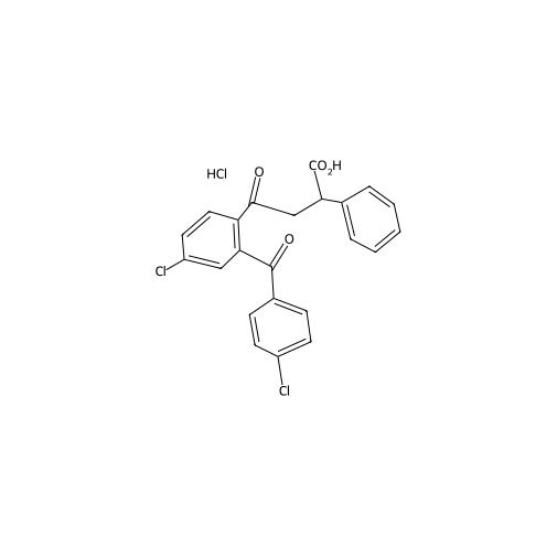 Cl.O=C(CC(C(=O)O)c1ccccc1)c1ccc(Cl)cc1C(=O)c1ccc(Cl)cc1